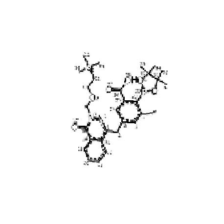 Cc1cc(Cc2nn(COCC[Si](C)(C)C)c(=O)c3ccccc23)cc(C(=O)O)c1B1OC(C)(C)C(C)(C)O1